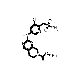 CC(C)(C)OC(=O)N1CCc2cnc(Nc3cnc(CS(C)(=O)=O)c(Cl)c3)nc2C1